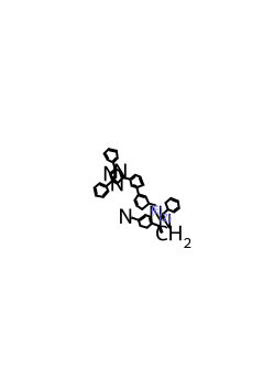 C=C(/N=C(\N=C\C1C=C(c2cccc(-c3nc(-c4ccccc4)nc(-c4ccccc4)n3)c2)C=CC1)C1C=CC=CC1)C1=CC=C(C#N)CC1